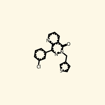 O=c1c2cccnc2c(-c2cccc(Cl)c2)nn1Cc1ccsc1